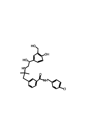 CC(C)(Cc1cccc(C(=O)NCc2ccc(Cl)cc2)c1)NC[C@@H](O)c1ccc(O)c(CO)c1